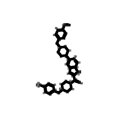 COc1ccc(CN2CCC(c3cc4cc(C(=O)N5CCN(Cc6ccc(C(F)(F)F)cc6)CC5)[nH]c4cn3)CC2)cn1